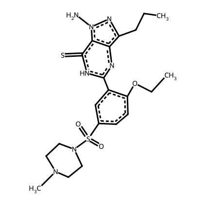 CCCc1nn(N)c2c(=S)[nH]c(-c3cc(S(=O)(=O)N4CCN(C)CC4)ccc3OCC)nc12